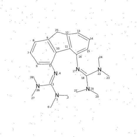 CN(C)C(=Nc1cccc2c1-c1c(cccc1N=C(N(C)C)N(C)C)C2)N(C)C